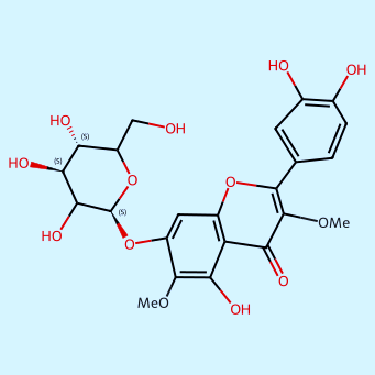 COc1c(O[C@@H]2OC(CO)[C@@H](O)[C@H](O)C2O)cc2oc(-c3ccc(O)c(O)c3)c(OC)c(=O)c2c1O